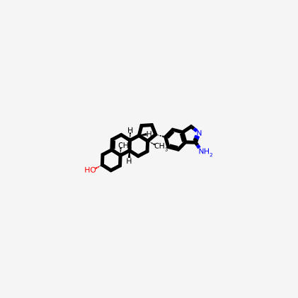 C[C@]12CC[C@H]3[C@@H](CC=C4C[C@@H](O)CC[C@@]43C)[C@@H]1CC[C@@H]2c1ccc2c(c1)CN=C2N